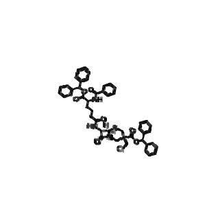 O=C(CCCC(NC(=O)c1ccccc1)C(=O)OC(c1ccccc1)c1ccccc1)NC1C(=O)N2CC(CCl)(C(=O)OC(c3ccccc3)c3ccccc3)CS[C@H]12